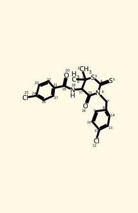 CC1(C)SC(=S)N(Cc2ccc(Cl)cc2)C(=O)C1NC(=O)c1ccc(Cl)cc1